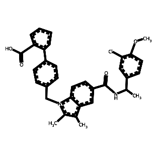 COc1ccc(C(C)NC(=O)c2ccc3c(c2)c(C)c(C)n3Cc2ccc(-c3ccccc3C(=O)O)cc2)cc1Cl